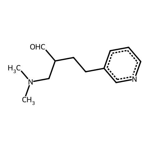 CN(C)CC(C=O)CCc1cccnc1